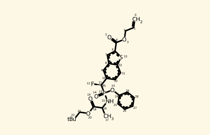 C=CCOC(=O)c1cc2cc([C@H](F)P(=O)(NC(C)C(=O)OCC(C)(C)C)Oc3ccccc3)ccc2s1